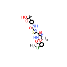 Cc1noc(-c2csc(C(=O)Nc3ccc(C4(C(=O)O)CC4)cc3)n2)c1NC(=O)OC(C)c1ccccc1Cl